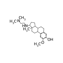 COc1cc2c(cc1O)CCC1C2CCC2(C)C(NCCN(C)C)CCC12